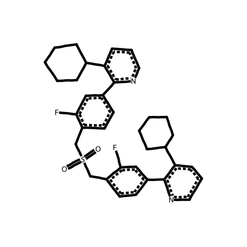 O=S(=O)(Cc1ccc(-c2ncccc2C2CCCCC2)cc1F)Cc1ccc(-c2ncccc2C2CCCCC2)cc1F